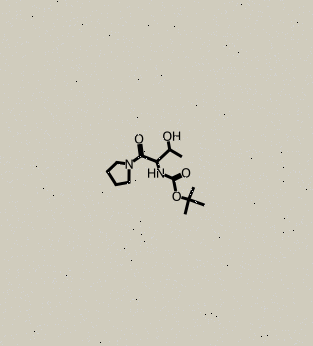 CC(O)C(NC(=O)OC(C)(C)C)C(=O)N1CCCC1